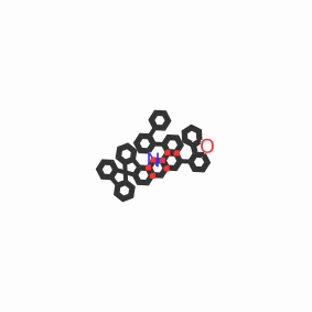 c1ccc(-c2ccccc2-c2c(-c3ccccc3)cccc2N(c2ccc(-c3cccc4oc5ccccc5c34)cc2)c2cccc3c2-c2ccccc2C32c3ccccc3-c3ccccc32)cc1